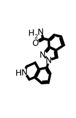 NC(=O)c1cccc2cn(-c3cccc4c3CCNC4)nc12